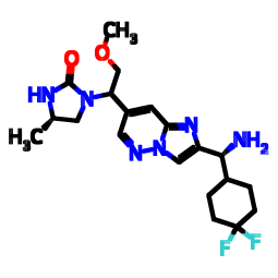 COCC(c1cnn2cc([C@@H](N)C3CCC(F)(F)CC3)nc2c1)N1C[C@@H](C)NC1=O